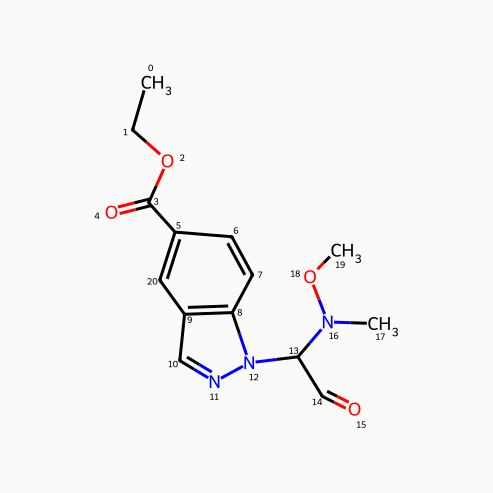 CCOC(=O)c1ccc2c(cnn2C(C=O)N(C)OC)c1